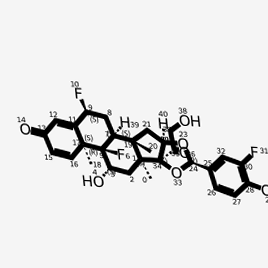 C[C@]12C[C@H](O)[C@@]3(F)[C@@H](C[C@H](F)C4=CC(=O)C=C[C@@]43C)[C@]1(C)C[C@H]1O[C@@H](c3ccc(O)c(F)c3)O[C@]12C(=O)CO